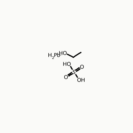 CCO.O=S(=O)(O)O.[PbH2]